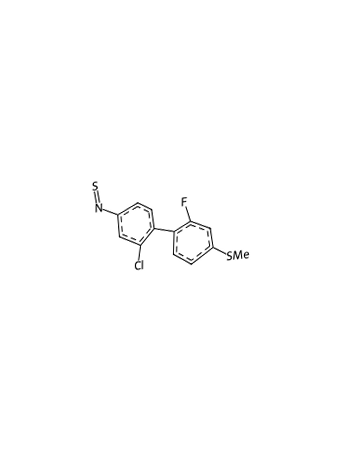 CSc1ccc(-c2ccc(N=S)cc2Cl)c(F)c1